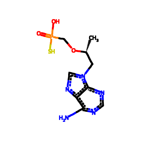 C[C@H](Cn1cnc2c(N)ncnc21)OCP(=O)(O)S